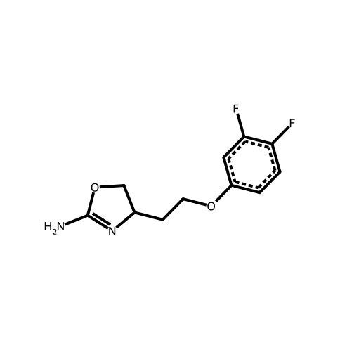 NC1=NC(CCOc2ccc(F)c(F)c2)CO1